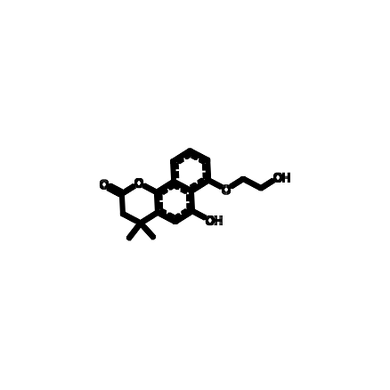 CC1(C)CC(=O)Oc2c1cc(O)c1c(OCCO)cccc21